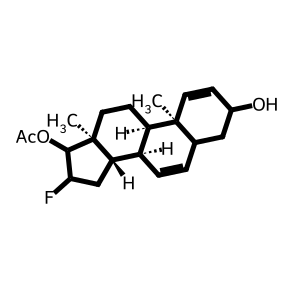 CC(=O)OC1C(F)C[C@H]2[C@@H]3C=CC4CC(O)C=C[C@]4(C)[C@@H]3CC[C@]12C